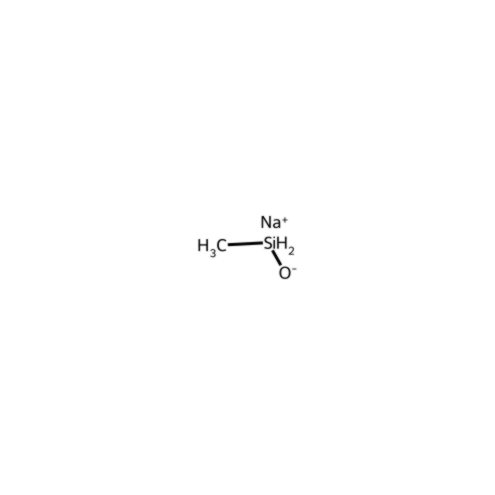 C[SiH2][O-].[Na+]